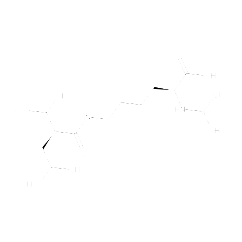 CC(C)C[C@H](C(=O)NCCCC[C@H](NC(C)C)C(=O)O)C(C)C